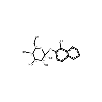 OC[C@H]1O[C@@](O)(Oc2ccc3ccccc3c2O)[C@H](O)[C@@H](O)[C@H]1O